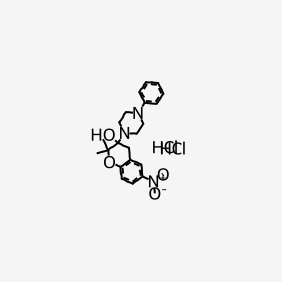 CC1(C)Oc2ccc([N+](=O)[O-])cc2CC1(O)N1CCN(c2ccccc2)CC1.Cl.Cl